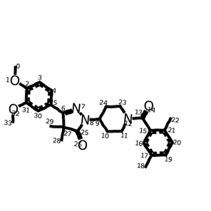 COc1ccc(C2=NN(C3CCN(C(=O)c4cc(C)ccc4C)CC3)C(=O)C2(C)C)cc1OC